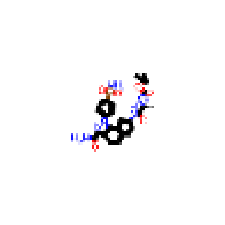 C[C@@H](NC(=O)OC(C)(C)C)C(=O)Nc1ccc2c(c1)-c1c(c(C(N)=O)nn1-c1ccc(S(N)(=O)=O)cc1)CC2